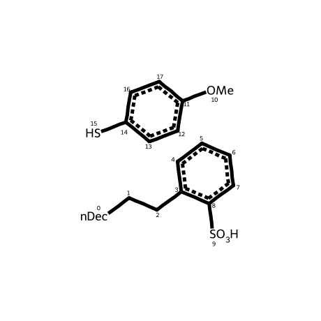 CCCCCCCCCCCCc1ccccc1S(=O)(=O)O.COc1ccc(S)cc1